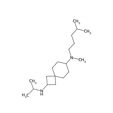 CC(C)CCCN(C)C1CCC2(CC1)CC(NC(C)C)C2